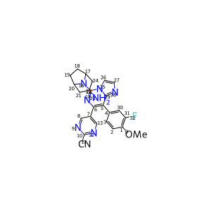 COc1ccc(-c2c(-c3cnc(C#N)nc3)nc(N3C4CCC3CC(N)C4)n3ccnc23)cc1F